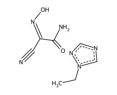 CCn1cncn1.N#CC(=NO)C(N)=O